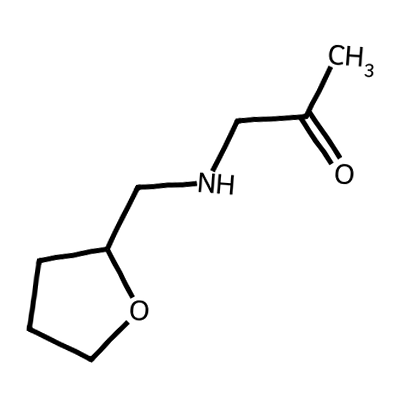 CC(=O)CNCC1CCCO1